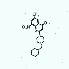 O=c1cc(N2CCN(CC3CCCCC3)CC2)sc2c([N+](=O)[O-])cc(C(F)(F)F)cc12